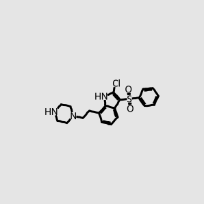 O=S(=O)(c1ccccc1)c1c(Cl)[nH]c2c(CCN3CCNCC3)cccc12